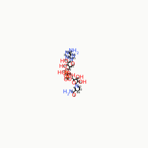 NC(=O)C1=CN(C2OC(COP(=O)(O)OP(=O)(O)OCC3COC(n4cnc5c(N)ncnc54)C(O)C3O)C(O)C2O)C=CC1